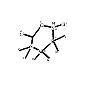 C[Si]1(C)C(Cl)O[SiH](Cl)[Si](C)(C)[Si]1(C)C